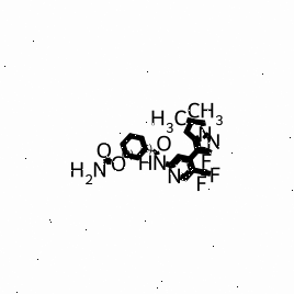 CC1(C)Cc2c(-c3cc(NC(=O)[C@H]4CCC[C@@H](OC(N)=O)C4)ncc3C(F)(F)F)cnn2C1